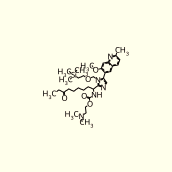 CCC(=O)CCCCCC(NC(=O)OCCN(C)C)c1ncc(-c2cc3ccc(C)nc3cc2OC)n1COCC[Si](C)(C)C